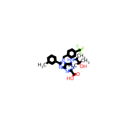 Cc1cccc(-c2nc3nc(C(=O)O)nc(NC(C)C(C)(C)O)c3n2Cc2ccc(C(F)(F)F)cc2)c1